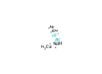 F.F.[CaH2].[KH].[NaH].[Ni]